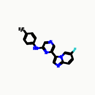 Fc1ccc2ncc(-c3cncc(Nc4ccc(C(F)(F)F)cc4)n3)n2c1